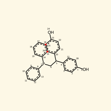 Oc1ccc(C(CP(c2ccccc2)c2ccccc2)c2ccc(O)cc2)cc1